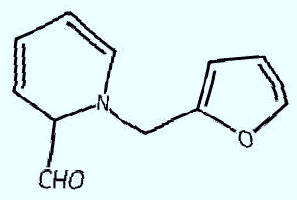 O=CC1C=CC=CN1Cc1ccco1